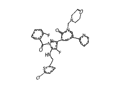 O=C(c1ccccc1F)n1nc(-c2cc(-c3ccccn3)cn(CN3CCOCC3)c2=O)c(F)c1NCc1ccc(Cl)s1